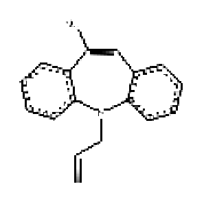 C=CCN1c2ccccc2C=C(C#N)c2ccccc21